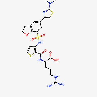 CN(C)c1nc(-c2cc3c(c(S(=O)(=O)Nc4ccsc4C(=O)NC(CCCNC(=N)N)C(=O)O)c2)OCC3)cs1